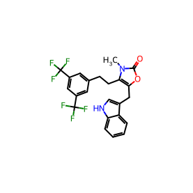 Cn1c(CCc2cc(C(F)(F)F)cc(C(F)(F)F)c2)c(Cc2c[nH]c3ccccc23)oc1=O